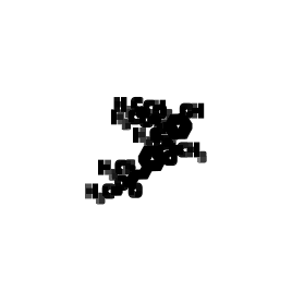 CCOC(=O)C(Cc1ccc(ON(C(C)=O)c2ccc(O)cc2N(C)C(=O)OC(C)(C)C)cc1)SC